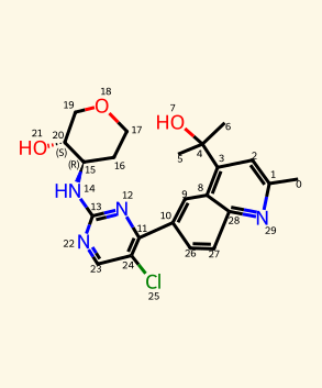 Cc1cc(C(C)(C)O)c2cc(-c3nc(N[C@@H]4CCOC[C@H]4O)ncc3Cl)ccc2n1